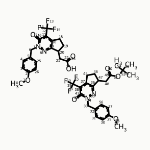 COc1ccc(Cn2nc3c(c(C(F)(F)F)c2=O)CCC3CC(=O)O)cc1.COc1ccc(Cn2nc3c(c(C(F)(F)F)c2=O)CCC3CC(=O)OC(C)(C)C)cc1